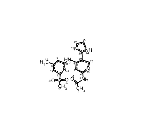 CC(=O)Nc1cc(Nc2cc(C)cc(S(C)(=O)=O)n2)c(-c2ncc[nH]2)cn1